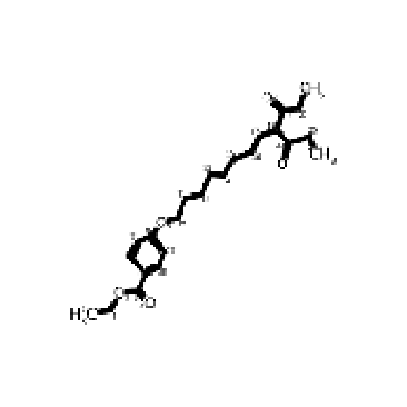 CCOC(=O)c1ccc(OCCCCCCCCC(C(=O)CC)C(=O)CC)cc1